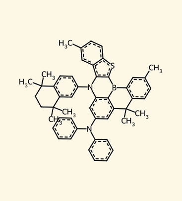 Cc1ccc2c(c1)B1c3sc4ccc(C)cc4c3N(c3ccc4c(c3)C(C)(C)CCC4(C)C)c3cc(N(c4ccccc4)c4ccccc4)cc(c31)C2(C)C